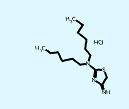 CCCCCCN(CCCCCC)C1=NC(=N)CS1.Cl